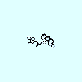 CC(=CCOc1c2occc2cc2ccc(=O)oc12)CC1CC(C)C(=O)O1